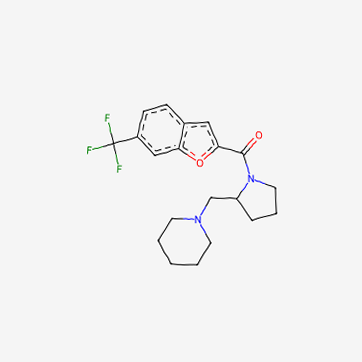 O=C(c1cc2ccc(C(F)(F)F)cc2o1)N1CCCC1CN1CCCCC1